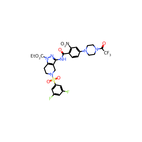 CCOC(=O)n1nc(NC(=O)c2ccc(N3CCN(C(=O)C(F)(F)F)CC3)cc2[N+](=O)[O-])c2c1CCN(S(=O)(=O)c1cc(F)cc(F)c1)C2